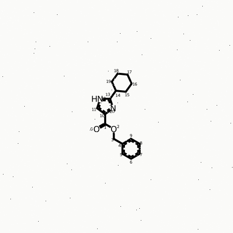 O=C(OCc1ccccc1)c1c[nH]c(C2CCCCC2)n1